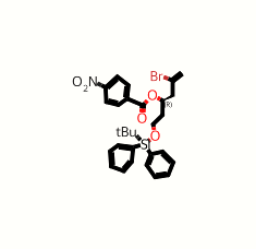 C=C(Br)C[C@@H](CCO[Si](c1ccccc1)(c1ccccc1)C(C)(C)C)OC(=O)c1ccc([N+](=O)[O-])cc1